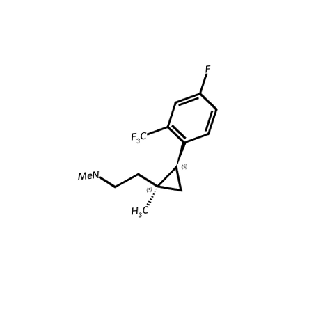 CNCC[C@]1(C)C[C@@H]1c1ccc(F)cc1C(F)(F)F